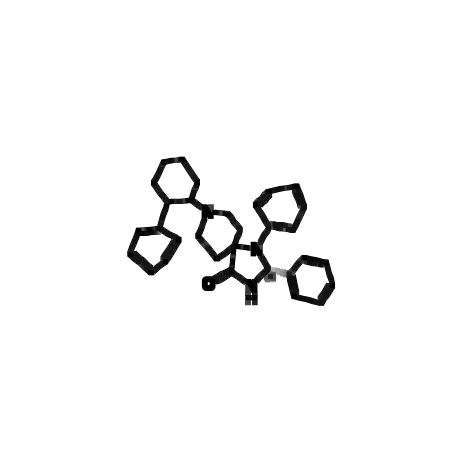 O=C1N[C@@H](c2ccccc2)N(c2ccccc2)C12CCN(C1CCCCC1c1ccccc1)CC2